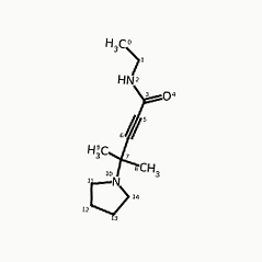 CCNC(=O)C#CC(C)(C)N1CCCC1